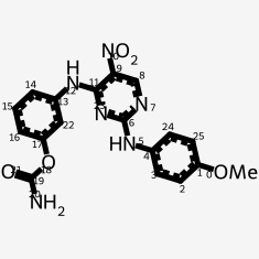 COc1ccc(Nc2ncc([N+](=O)[O-])c(Nc3cccc(OC(N)=O)c3)n2)cc1